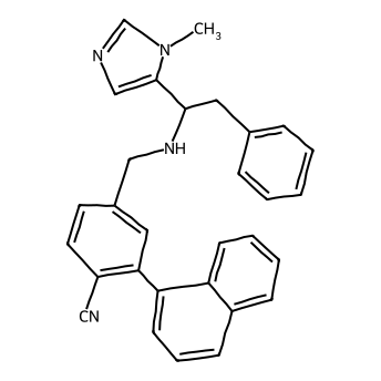 Cn1cncc1C(Cc1ccccc1)NCc1ccc(C#N)c(-c2cccc3ccccc23)c1